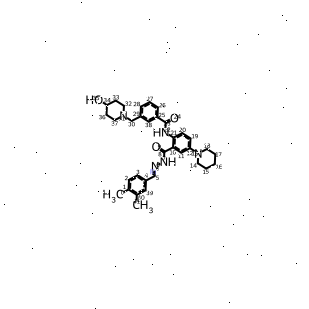 Cc1ccc(/C=N/NC(=O)c2cc(N3CCCCC3)ccc2NC(=O)c2cccc(CN3CCC(O)CC3)c2)cc1C